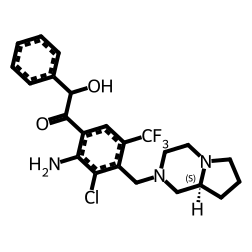 Nc1c(C(=O)C(O)c2ccccc2)cc(C(F)(F)F)c(CN2CCN3CCC[C@H]3C2)c1Cl